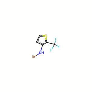 FC(F)(F)c1sccc1NBr